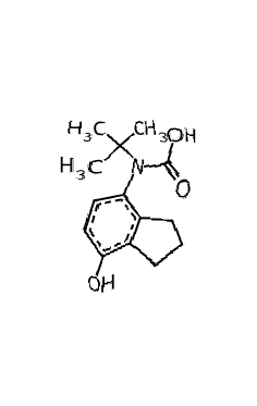 CC(C)(C)N(C(=O)O)c1ccc(O)c2c1CCC2